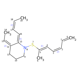 C=C/C=C\C=C(/C)SN1CCCC(=C/C)/C1=C\C=C/C